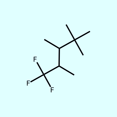 CC(C(C)C(F)(F)F)C(C)(C)C